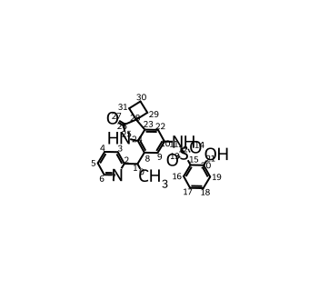 CC(c1ccccn1)c1cc(NS(=O)(=O)c2ccccc2O)cc2c1NC(=O)C21CCC1